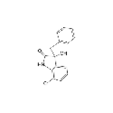 O=C1Nc2c(Cl)cccc2C1(O)Cc1ccccc1